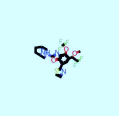 COC(c1cc(-c2nccs2)c2oc(N3CC4CCC(C3)N4)nc2c1OC(F)(F)F)C(F)F